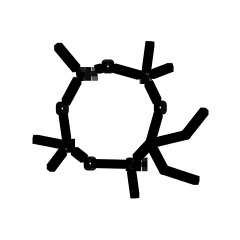 CCC1(CC)O[Si](C)(C)O[SiH](C)O[Si](C)(C)O[SiH]1C